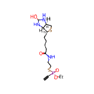 C#CP(=O)(OCC)SCCNC(=O)CCCC[C@@H]1SC[C@@H]2NC(O)N[C@@H]21